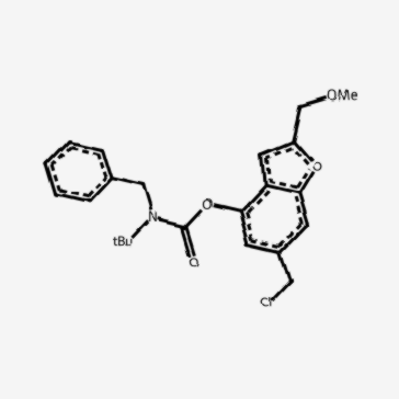 COCc1cc2c(OC(=O)N(Cc3ccccc3)C(C)(C)C)cc(CCl)cc2o1